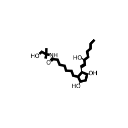 CCCCC[C@H](O)/C=C/[C@@H]1C(CCCCCCC(=O)NC(C)(C)CO)[C@@H](O)C[C@H]1O